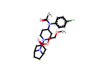 COCCOC(=O)N1C2CCC1CC(N1CCC(N(C(C)=O)c3ccc(F)cc3)CC1)C2